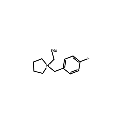 CC(C)(C)C[N+]1(Cc2ccc(F)cc2)CCCC1